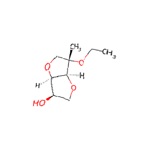 CCO[C@@]1(C)CO[C@@H]2[C@H](O)CO[C@@H]21